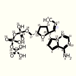 C/N=C\[C@]1(c2ccc3c(N)ncnn23)CC[C@@H](COP(=O)(O)OP(=O)(O)OP(=O)(O)O)O1